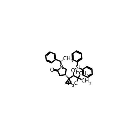 C[C@@H](c1ccccc1)N1C[C@@H](C2(C(O[SiH](c3ccccc3)c3ccccc3)C(C)(C)C)CC2)CC1=O